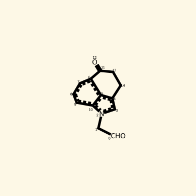 O=CCn1cc2c3c(cccc31)C(=O)CC2